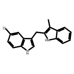 Cc1c(Cc2c[nH]c3ccc(Cl)cc23)[nH]c2ccccc12